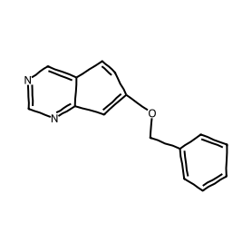 c1ccc(COc2ccc3cncnc3c2)cc1